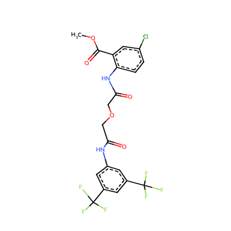 COC(=O)c1cc(Cl)ccc1NC(=O)COCC(=O)Nc1cc(C(F)(F)F)cc(C(F)(F)F)c1